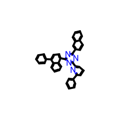 c1ccc(-c2cccc(-c3nc(-c4ccc5ccccc5c4)nc(-c4ccc(-c5ccccc5)c5ccccc45)n3)n2)cc1